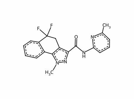 Cc1cccc(NC(=O)c2nn(C)c3c2CC(F)(F)c2ccccc2-3)n1